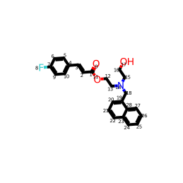 O=C(/C=C/c1ccc(F)cc1)OCCN(CCO)Cc1cccc2ccccc12